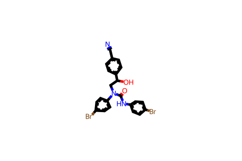 N#Cc1ccc(C(O)CN(C(=O)Nc2ccc(Br)cc2)c2ccc(Br)cc2)cc1